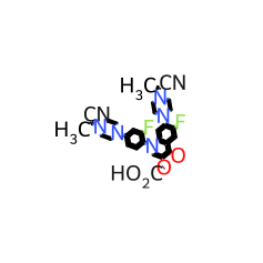 CC(C#N)N1CCN(c2ccc(-n3cc(OC(=O)O)c(=O)c4cc(F)c(N5CCN(C(C)C#N)CC5)cc43)c(F)c2)CC1